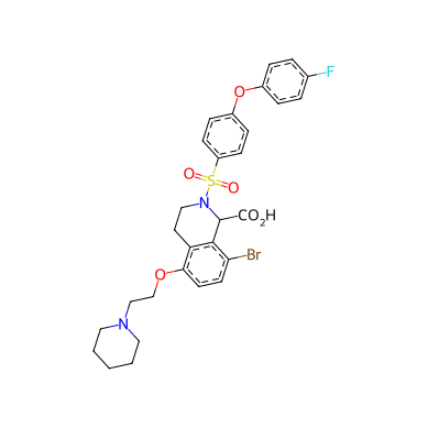 O=C(O)C1c2c(Br)ccc(OCCN3CCCCC3)c2CCN1S(=O)(=O)c1ccc(Oc2ccc(F)cc2)cc1